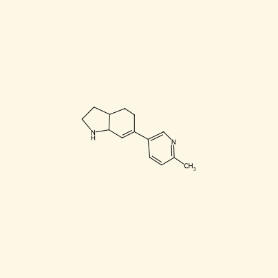 Cc1ccc(C2=CC3NCCC3CC2)cn1